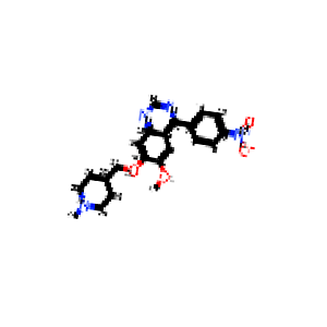 COc1cc2c(-c3ccc([N+](=O)[O-])cc3)ncnc2cc1OCC1CCN(C)CC1